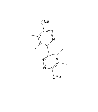 COc1nnc(-c2nnc(OC)c(C)c2C)c(C)c1C